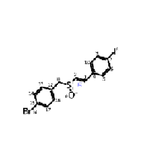 [O-][S+](/C=C/c1ccc(I)cc1)Cc1ccc(Br)cc1